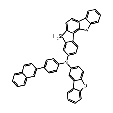 c1ccc2cc(-c3ccc(N(c4ccc5c(c4)[SiH2]c4ccc6c(sc7ccccc76)c4-5)c4ccc5oc6ccccc6c5c4)cc3)ccc2c1